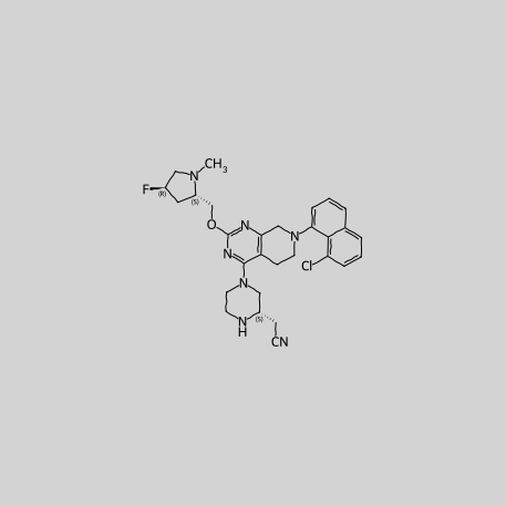 CN1C[C@H](F)C[C@H]1COc1nc2c(c(N3CCN[C@@H](CC#N)C3)n1)CCN(c1cccc3cccc(Cl)c13)C2